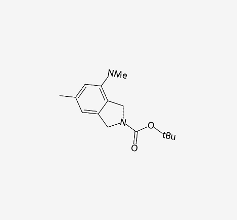 CNc1cc(C)cc2c1CN(C(=O)OC(C)(C)C)C2